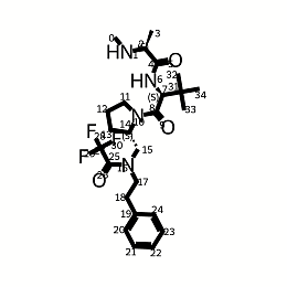 CN[C@@H](C)C(=O)N[C@H](C(=O)N1CCC[C@H]1CN(CCc1ccccc1)C(=O)C(F)(F)F)C(C)(C)C